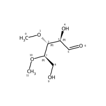 CO[C@H]([C@@H](O)C=O)[C@@H](CO)OC